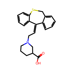 O=C(O)C1CCCN(CC=C2c3ccccc3CSc3ccccc32)C1